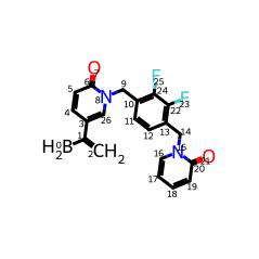 BC(=C)c1ccc(=O)n(Cc2ccc(Cn3ccccc3=O)c(F)c2F)c1